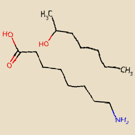 CCCCCC(C)O.NCCCCCCCC(=O)O